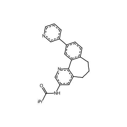 CC(C)C(=O)Nc1cnc2c(c1)CCCc1ccc(-c3cccnc3)cc1-2